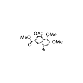 COC(=O)c1cc(OC(C)=O)c2c(OC)c(OC)cc(Br)c2c1